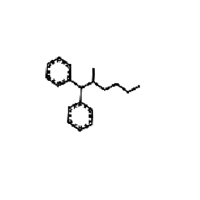 CCCCC(C)C(c1ccccc1)c1ccccc1